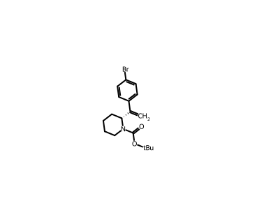 C=C(c1ccc(Br)cc1)[C@H]1CCCCN1C(=O)OC(C)(C)C